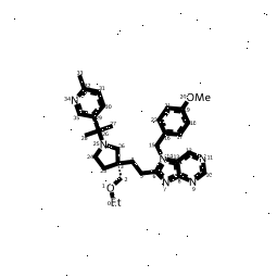 CCOC[C@]1(CCc2nc3ncncc3n2Cc2ccc(OC)cc2)CCN(C(C)(C)c2ccc(C)nc2)C1